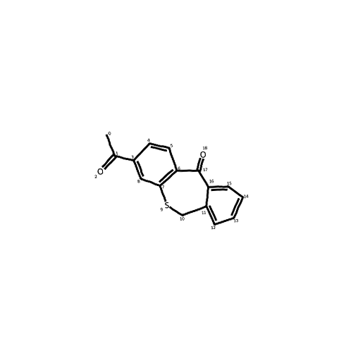 CC(=O)c1ccc2c(c1)SCc1ccccc1C2=O